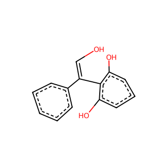 OC=C(c1ccccc1)c1c(O)cccc1O